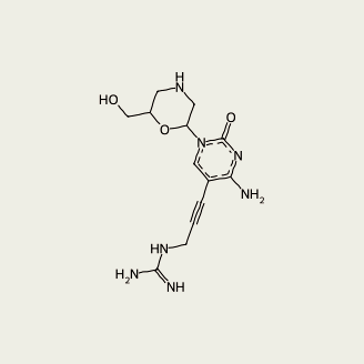 N=C(N)NCC#Cc1cn(C2CNCC(CO)O2)c(=O)nc1N